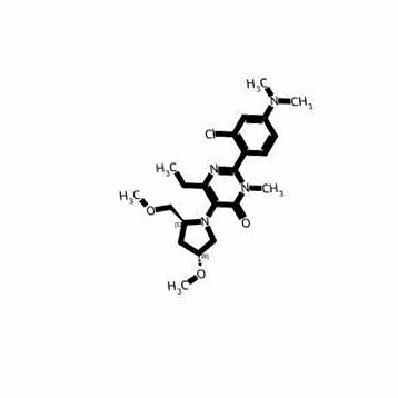 CCc1nc(-c2ccc(N(C)C)cc2Cl)n(C)c(=O)c1N1C[C@H](OC)C[C@H]1COC